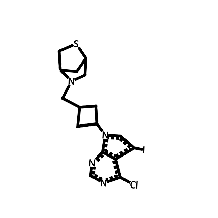 Clc1ncnc2c1c(I)cn2C1CC(CN2CC3CC2CS3)C1